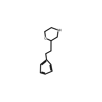 c1ccc(CCC2CNCCO2)cc1